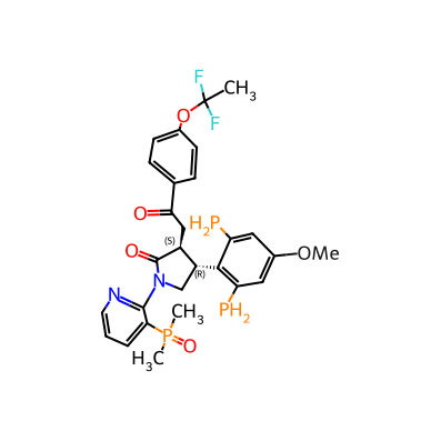 COc1cc(P)c([C@@H]2CN(c3ncccc3P(C)(C)=O)C(=O)[C@H]2CC(=O)c2ccc(OC(C)(F)F)cc2)c(P)c1